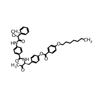 CCCCCCCOc1ccc(C(=O)Oc2ccc(C[C@H](NC(=O)c3ccc(NC(=O)[C@@H](OC)c4ccccc4)cc3)C(C)=O)cc2)cc1